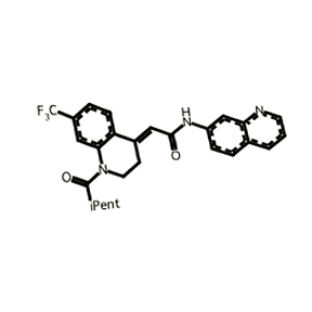 CCCC(C)C(=O)N1CC/C(=C\C(=O)Nc2ccc3cccnc3c2)c2ccc(C(F)(F)F)cc21